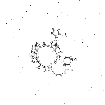 C[C@@H]1[C@@H](C)S(=O)(=O)NC(=O)c2ccc3c(c2)N(Cc2ccc(Cl)c(F)c2CCCCO3)C[C@@H]2CC[C@H]2[C@@H](OCc2nccn2C)C2=C[C@H]1C2